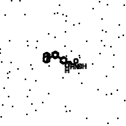 O=C(C=CC1(O)C=CC(c2cccc(C34CC5CC(CC(C5)C3)C4)c2)=CC1)NO